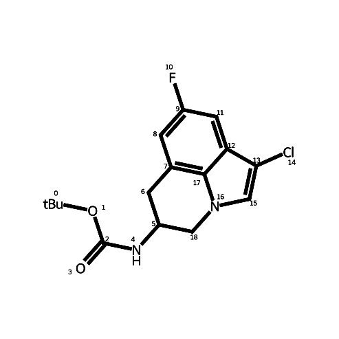 CC(C)(C)OC(=O)NC1Cc2cc(F)cc3c(Cl)cn(c23)C1